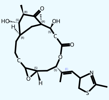 CC1=NC(/C=C(\C)[C@@H]2C[C@@H]3OC3CCC[C@@H]3C[C@@](C)(C(=O)[C@H](C)[C@H]3O)[C@@H](O)CC(=O)O2)CS1